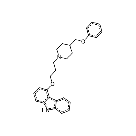 c1ccc(OCC2CCN(CCCOc3cccc4[nH]c5ccccc5c34)CC2)cc1